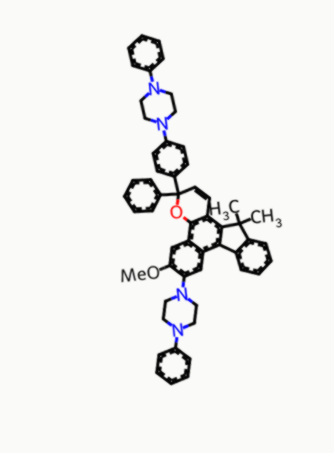 COc1cc2c3c(c4c(c2cc1N1CCN(c2ccccc2)CC1)-c1ccccc1C4(C)C)C=CC(c1ccccc1)(c1ccc(N2CCN(c4ccccc4)CC2)cc1)O3